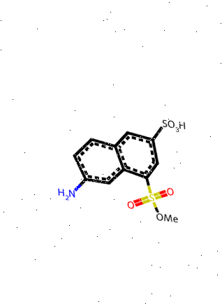 COS(=O)(=O)c1cc(S(=O)(=O)O)cc2ccc(N)cc12